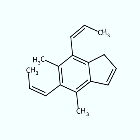 C/C=C\c1c(C)c2c(c(/C=C\C)c1C)CC=C2